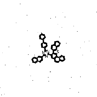 c1ccc(-c2ccc(-c3nc(-c4ccc5ccccc5c4)nc(-c4cc5ccc6ccccc6c5c5sc6c7ccccc7ccc6c45)n3)cc2)cc1